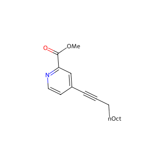 CCCCCCCCCC#Cc1ccnc(C(=O)OC)c1